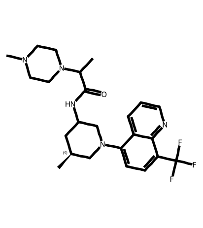 CC(C(=O)NC1C[C@H](C)CN(c2ccc(C(F)(F)F)c3ncccc23)C1)N1CCN(C)CC1